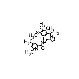 COc1ccc(C(C)N2CCCC2CCNC(=O)c2cc(C)cc(C)n2)c(C)c1C